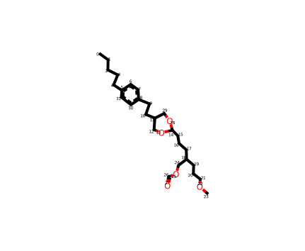 CCCCCc1ccc(CCC2COC(CCCC(CCCOC)COC=O)OC2)cc1